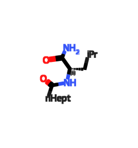 CCCCCCCC(=O)N[C@@H](CC(C)C)C(N)=O